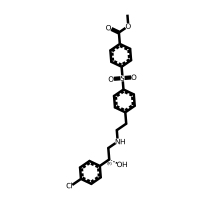 COC(=O)c1ccc(S(=O)(=O)c2ccc(CCNC[C@H](O)c3ccc(Cl)cc3)cc2)cc1